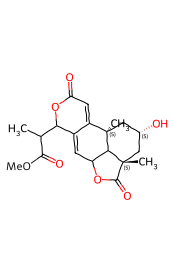 COC(=O)C(C)C1OC(=O)C=C2C1=CC1OC(=O)[C@@]3(C)C[C@@H](O)C[C@@]2(C)C13